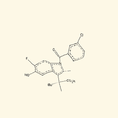 CCC(C)[C@@](C)(C(=O)O)c1c(C)n(C(=O)c2cccc(Cl)c2)c2cc(F)c(O)cc12